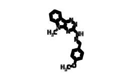 COc1ccc(C=NNc2nnc3c4ccccc4n(C)c3n2)cc1